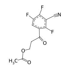 CC(=O)OCCC(=O)c1cc(F)c(F)c(C#N)c1F